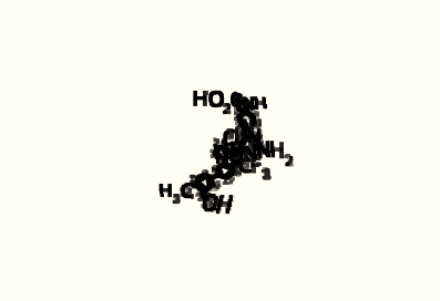 Cc1ccn(-c2cc(-c3ccc(C)c(CO)c3)ccc2[C@@H](Oc2cc(N3CCC4(CC3)CNC(C(=O)O)C4)nc(N)n2)C(F)(F)F)n1